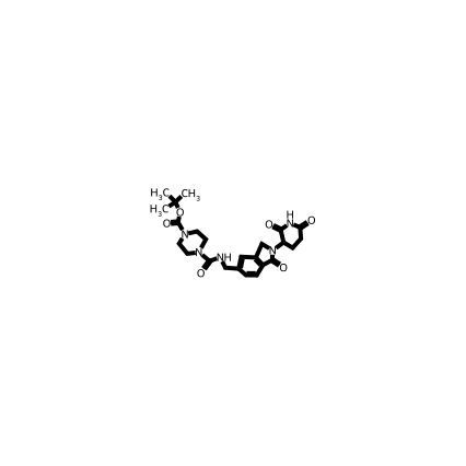 CC(C)(C)OC(=O)N1CCN(C(=O)NCc2ccc3c(c2)CN(C2CCC(=O)NC2=O)C3=O)CC1